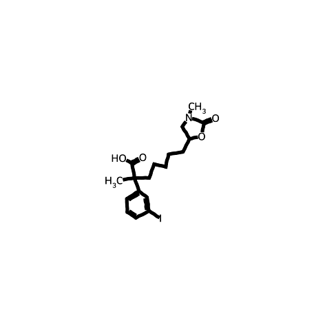 CN1CC(CCCCCC(C)(C(=O)O)c2cccc(I)c2)OC1=O